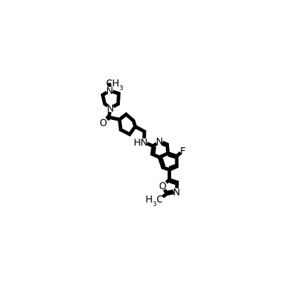 Cc1ncc(-c2cc(F)c3cnc(NCC4CCC(C(=O)N5CCN(C)CC5)CC4)cc3c2)o1